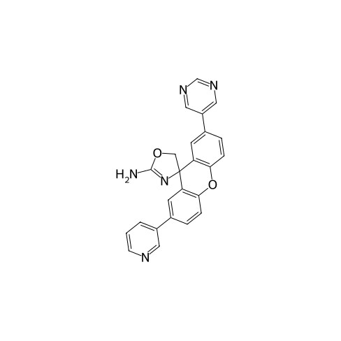 NC1=NC2(CO1)c1cc(-c3cccnc3)ccc1Oc1ccc(-c3cncnc3)cc12